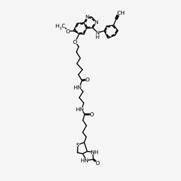 C#Cc1cccc(Nc2ncnc3cc(OC)c(OCCCCCCC(=O)NCCCNC(=O)CCCCC4SCC5NC(=O)NC54)cc23)c1